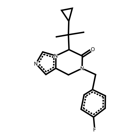 CC(C)(C1CC1)C1C(=O)N(Cc2ccc(F)cc2)Cc2cncn21